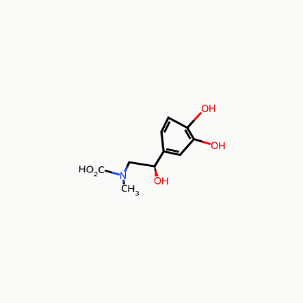 CN(C[C@H](O)c1ccc(O)c(O)c1)C(=O)O